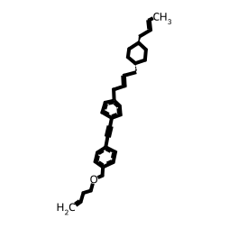 C=CCCOCc1ccc(C#Cc2ccc(CC=CC[C@H]3CC[C@H](CC=CC)CC3)cc2)cc1